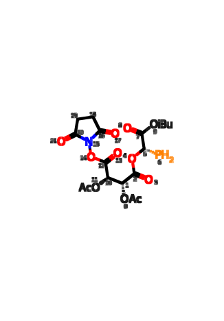 CC(=O)O[C@@H](C(=O)O[C@@H](P)C(=O)OCC(C)C)[C@@H](OC(C)=O)C(=O)ON1C(=O)CCC1=O